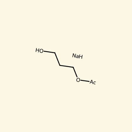 CC(=O)OCCCO.[NaH]